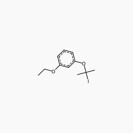 CCOc1cccc(OC(C)(C)I)c1